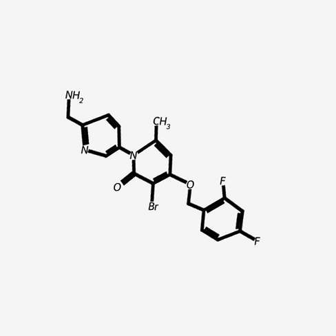 Cc1cc(OCc2ccc(F)cc2F)c(Br)c(=O)n1-c1ccc(CN)nc1